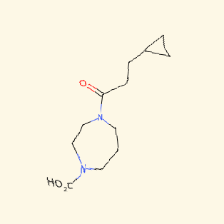 O=C(O)N1CCCN(C(=O)CCC2CC2)CC1